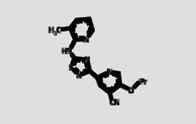 Cc1cccnc1Nc1nc(-c2cc(C#N)c(OC(C)C)cn2)ns1